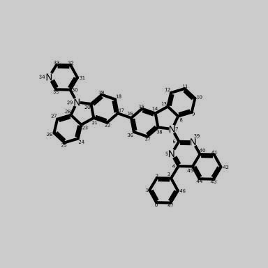 c1ccc(-c2nc(-n3c4ccccc4c4cc(-c5ccc6c(c5)c5ccccc5n6-c5cccnc5)ccc43)nc3ccccc23)cc1